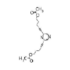 CC(=O)OCCCC#Cc1cncc(C#CCCCOC(C)=O)n1